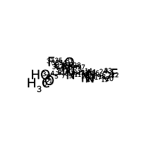 COC(O)CCCCc1nc2cc(-c3cn(CCC4=CCC(F)C=C4)nn3)ccc2c(=O)n1C1C=CC(F)=CC1